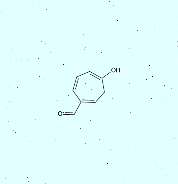 O=CC1=CCC(O)=CC=C1